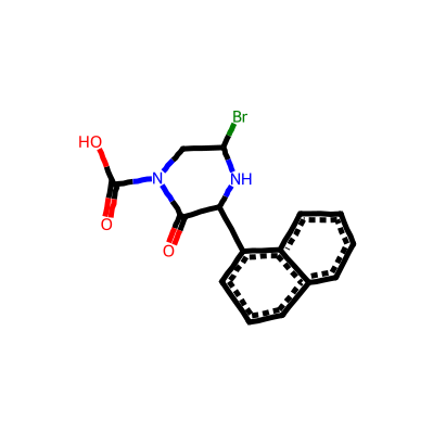 O=C(O)N1CC(Br)NC(c2cccc3ccccc23)C1=O